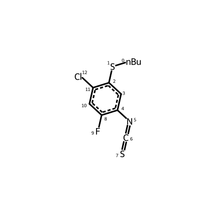 CCCCSc1cc(N=C=S)c(F)cc1Cl